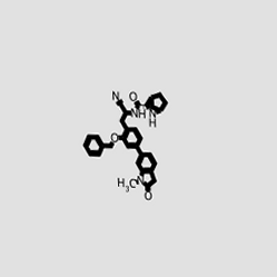 CN1C(=O)Cc2ccc(-c3ccc(CC(C#N)NC(=O)[C@H]4NC5CCC4C5)c(OCc4ccccc4)c3)cc21